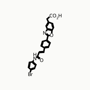 O=C(O)Cc1ccc2oc(-c3ccc(C=CC(=O)Nc4ccc(Br)cc4)cc3)nc2c1